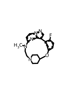 CN1CCN2CCC(CC2)Oc2ccc(F)c(c2)-c2cnn3ccc1nc23